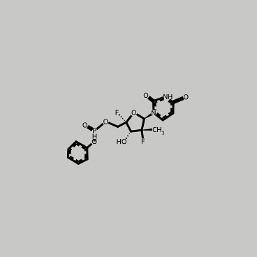 C[C@]1(F)[C@H](n2ccc(=O)[nH]c2=O)O[C@](F)(CO[PH](=O)Oc2ccccc2)[C@H]1O